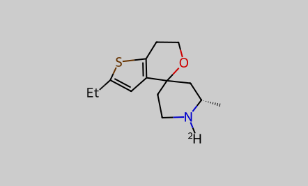 [2H]N1CCC2(C[C@@H]1C)OCCc1sc(CC)cc12